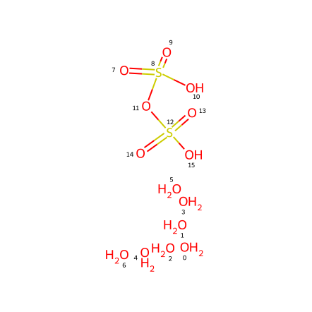 O.O.O.O.O.O.O.O=S(=O)(O)OS(=O)(=O)O